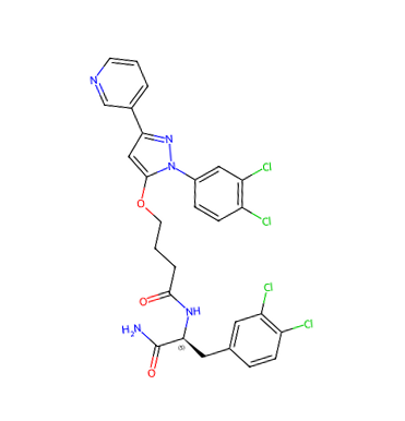 NC(=O)[C@H](Cc1ccc(Cl)c(Cl)c1)NC(=O)CCCOc1cc(-c2cccnc2)nn1-c1ccc(Cl)c(Cl)c1